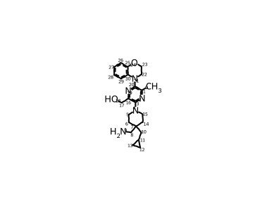 Cc1nc(N2CCC(CN)(CC3CC3)CC2)c(CO)nc1N1CCOc2ccccc21